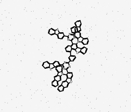 c1cc(-c2nc(-c3ccc4c(c3)sc3ccccc34)nc(-c3ccc4oc5cc6ccccc6cc5c4c3-n3c4ccccc4c4cc5ccccc5cc43)n2)cc(-c2cccc3c(-c4nc(-c5ccc6ccccc6c5)nc(-c5ccc6c(c5)sc5ccccc56)n4)c(-n4c5ccccc5c5cc6ccccc6cc54)c4c5ccccc5oc4c23)c1